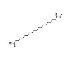 COC(=O)CCCCCCCCCCCCCCCCCCC(=O)O